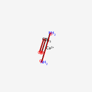 CCCCCCCCCCCCCCCCCC(=O)[O-].CCCCCCCCCCCCCCCCCC(=O)[O-].NC(=O)CCCCCCCCCCCCCCCCCCCCCCCCCCCCCCCCCCCCC(N)=O.[Ca+2]